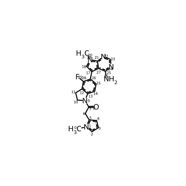 Cn1cccc1CC(=O)N1CCc2c1ccc(-c1cn(C)c3ncnc(N)c13)c2F